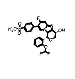 CS(=O)(=O)c1ccc(-c2cn3c4c(nc3cc2F)[C@H](O)CO[C@@H]4c2ccccc2OC(F)F)cc1